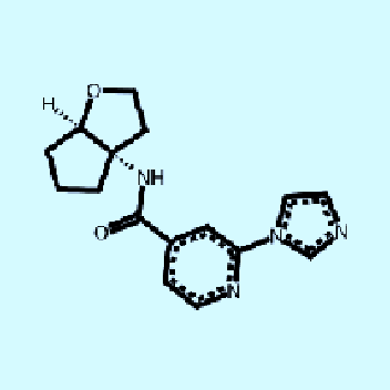 O=C(N[C@]12CCC[C@H]1OCC2)c1ccnc(-n2ccnc2)c1